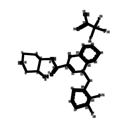 O=C(NC1CCNCC1O)C1=CN(Cc2cccc(F)c2F)c2ccccc2O1.O=C(O)C(F)(F)F